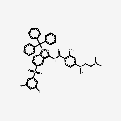 CCN(CCN(C)C)c1ccc(C(=O)Nc2nn(C(c3ccccc3)(c3ccccc3)c3ccccc3)c3ccc(S(=O)(=O)c4cc(F)cc(F)c4)cc23)c(N)c1